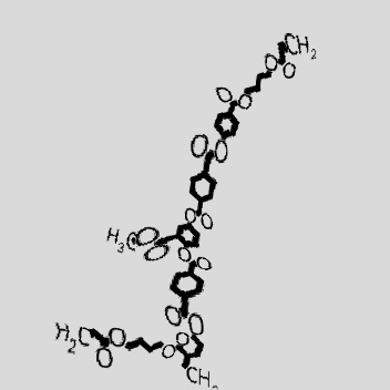 C=CC(=O)OCCCCOC(=O)C(/C=C\COC(=O)C1CCC(C(=O)Oc2ccc(OC(=O)C3CCC(C(=O)Oc4ccc(C(=O)OCCCCOC(=O)C=C)cc4)CC3)cc2C(=O)OC)CC1)=C/C